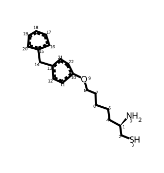 N[C@@H](CS)CCCCCOc1ccc(Cc2ccccc2)cc1